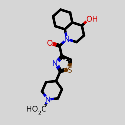 O=C(O)N1CCC(c2nc(C(=O)N3CCC(O)C4CCCCC43)cs2)CC1